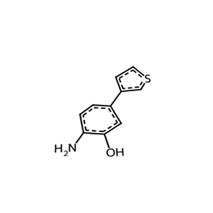 Nc1ccc(-c2ccsc2)cc1O